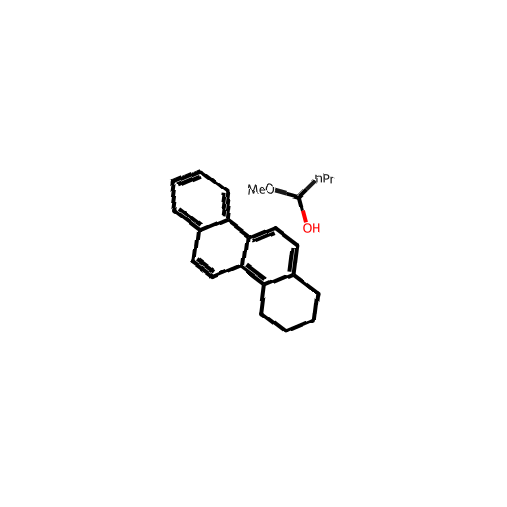 CCCC(O)OC.c1ccc2c(c1)ccc1c3c(ccc12)CCCC3